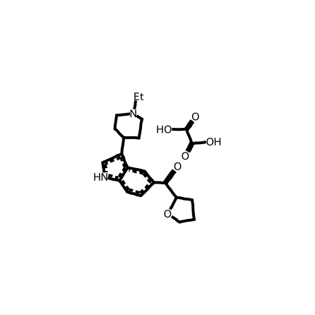 CCN1CCC(c2c[nH]c3ccc(C(=O)C4CCCO4)cc23)CC1.O=C(O)C(=O)O